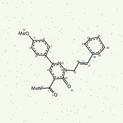 CNC(=O)c1cc(-c2ccc(OC)cc2)nn(C/C=C/c2ccccc2)c1=O